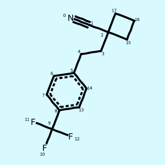 N#CC1(CCc2ccc(C(F)(F)F)cc2)CCC1